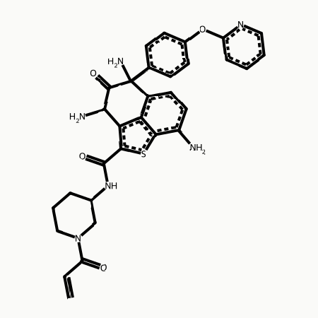 C=CC(=O)N1CCCC(NC(=O)c2sc3c(N)ccc4c3c2C(N)C(=O)C4(N)c2ccc(Oc3ccccn3)cc2)C1